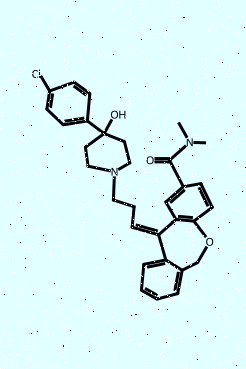 CN(C)C(=O)c1ccc2c(c1)/C(=C\CCN1CCC(O)(c3ccc(Cl)cc3)CC1)c1ccccc1CO2